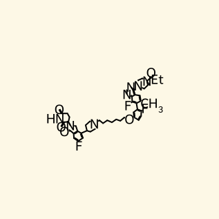 CCC(=O)N1CCN(c2ncnc3c(F)c(-c4cc(OCCCCCCCN5CCC(c6cc(F)cc7c6CN(C6CCC(=O)NC6=O)C7=O)CC5)ccc4F)c(C)cc23)CC1